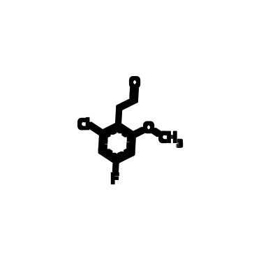 COc1cc(F)cc(Cl)c1CC=O